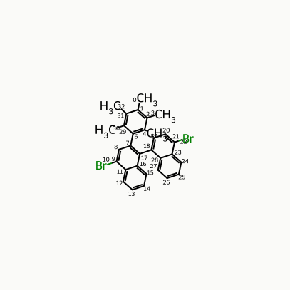 Cc1c(C)c(C)c(-c2cc(Br)c3ccccc3c2-c2ccc(Br)c3ccccc23)c(C)c1C